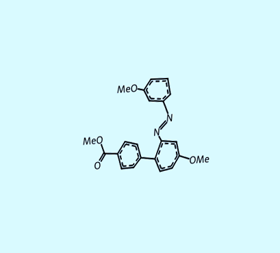 COC(=O)c1ccc(-c2ccc(OC)cc2/N=N/c2cccc(OC)c2)cc1